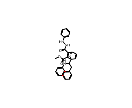 COC(=O)C1=C(C(=O)NNc2ccccc2)C2C=CC1(C(Cc1ccccc1)Nc1ccccc1)O2